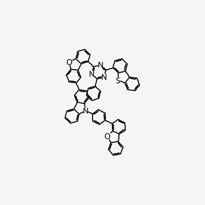 c1ccc(-c2nc(-c3cccc4c3sc3ccccc34)nc(-c3cccc4oc5ccc(-c6ccc7c(c6)c6ccccc6n7-c6ccc(-c7cccc8c7oc7ccccc78)cc6)cc5c34)n2)cc1